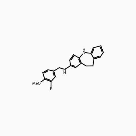 COc1ccc(CNc2ccc3c(c2)CCc2ccccc2N3)cc1F